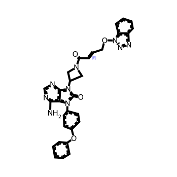 Nc1ncnc2c1n(-c1ccc(Oc3ccccc3)cc1)c(=O)n2C1CN(C(=O)/C=C/COn2nnc3ccccc32)C1